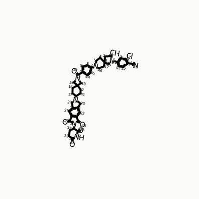 C[C@H]1CC2(CCN(c3ccc(C(=O)N4CC5(CCC(N6Cc7cc8c(cc7C6)C(=O)N(C6CCC(=O)NC6=O)C8=O)CC5)C4)cc3)CC2)CN1c1ccc(C#N)c(Cl)c1